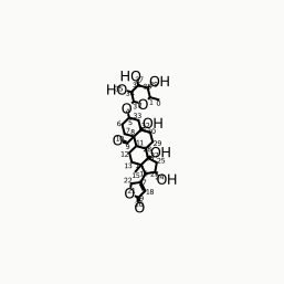 CC1OC(OC2CCC3(C=O)C4CCC5(C)C(C6=CC(=O)OC6)C(O)CC5(O)C4CCC3(O)C2)C(O)C(O)C1O